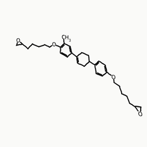 Cc1cc(C2=CCC(c3ccc(OCCCCCC4CO4)cc3)CC2)ccc1OCCCCCC1CO1